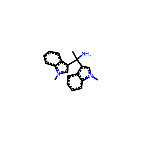 Cn1cc(C(C)(N)c2cn(C)c3ccccc23)c2ccccc21